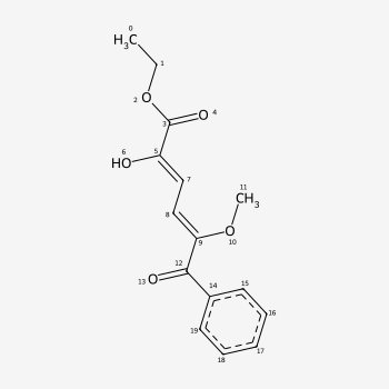 CCOC(=O)C(O)=CC=C(OC)C(=O)c1ccccc1